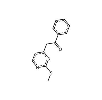 CSc1nccc(CC(=O)c2ccccc2)n1